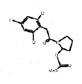 COC(=O)OC1CCCN1C(=O)Cc1c(Cl)cc(Cl)cc1Cl